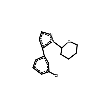 Clc1cccc(-c2ccnn2C2CCCCO2)c1